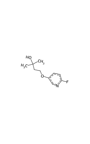 CC(C)(O)CCOc1ccc(F)nc1